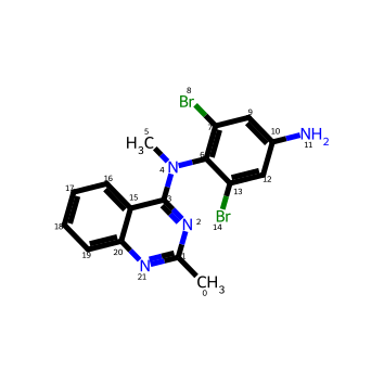 Cc1nc(N(C)c2c(Br)cc(N)cc2Br)c2ccccc2n1